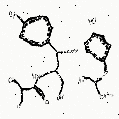 CC(O)Oc1ccccc1.Cl.O=C(NC(CO)C(O)c1ccc([N+](=O)[O-])cc1)C(Cl)Cl